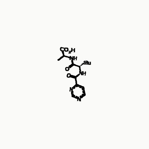 C[C@H](NC(=O)[C@@H](NC(=O)c1ccncn1)C(C)(C)C)C(=O)O